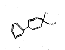 CCCC1(C(=O)O)C=CC(c2ccccc2)C=C1